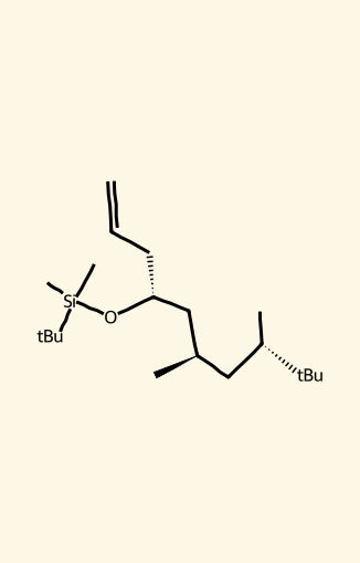 C=CC[C@H](C[C@H](C)C[C@H](C)C(C)(C)C)O[Si](C)(C)C(C)(C)C